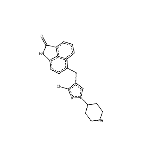 O=C1Nc2ccc(Cc3cn(C4CCNCC4)nc3Cl)c3cccc1c23